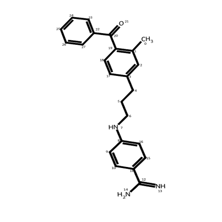 Cc1cc(CCCNc2ccc(C(=N)N)cc2)ccc1C(=O)c1ccccc1